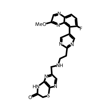 COc1cnc2ccc(F)c(-c3cnc(CCNCc4cnc5c(n4)NC(=O)CS5)nc3)c2n1